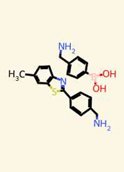 Cc1ccc2nc(-c3ccc(CN)cc3)sc2c1.NCc1ccc(B(O)O)cc1